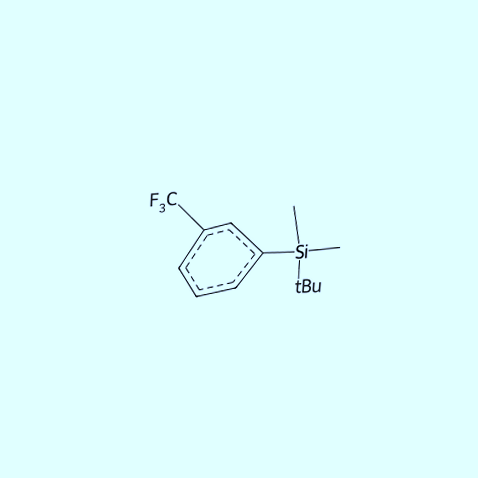 CC(C)(C)[Si](C)(C)c1cccc(C(F)(F)F)c1